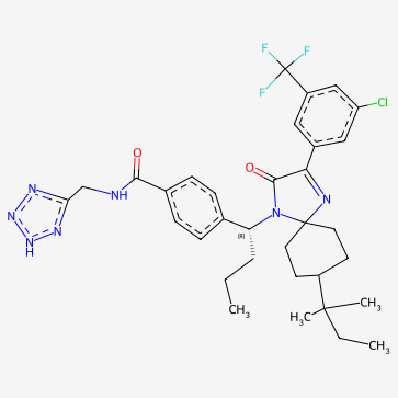 CCC[C@H](c1ccc(C(=O)NCc2nn[nH]n2)cc1)N1C(=O)C(c2cc(Cl)cc(C(F)(F)F)c2)=NC12CCC(C(C)(C)CC)CC2